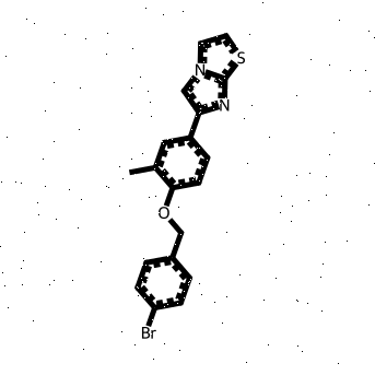 Cc1cc(-c2cn3ccsc3n2)ccc1OCc1ccc(Br)cc1